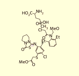 CCc1cccc(CC)c1N(COC)C(=O)CCl.COC(=O)CSc1cc(/N=c2\sc(=O)n3n2CCCC3)c(F)cc1Cl.CP(=O)(O)CCC(N)C(=O)O